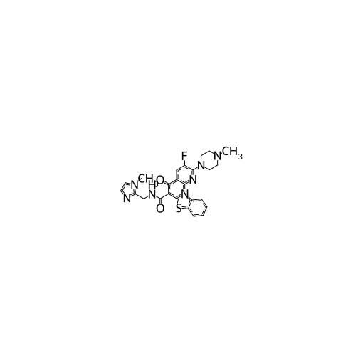 CN1CCN(c2nc3c(cc2F)c(=O)c(C(=O)NCc2nccn2C)c2sc4ccccc4n23)CC1